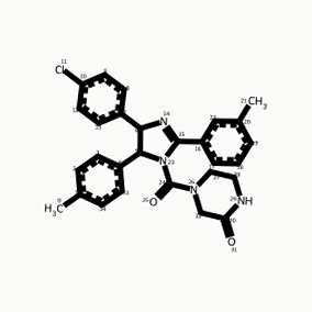 Cc1ccc(C2C(c3ccc(Cl)cc3)N=C(c3cccc(C)c3)N2C(=O)N2CCNC(=O)C2)cc1